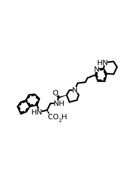 O=C(NC[C@H](Nc1cccc2ccccc12)C(=O)O)[C@@H]1CCCN(CCCc2ccc3c(n2)NCCC3)C1